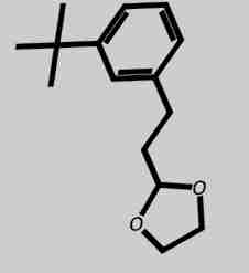 CC(C)(C)c1cccc(CCC2OCCO2)c1